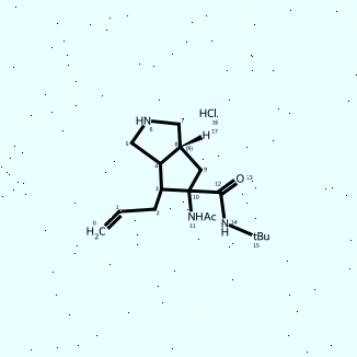 C=CCC1C2CNC[C@@H]2CC1(NC(C)=O)C(=O)NC(C)(C)C.Cl